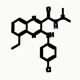 CCc1cccc2nc(C(=O)NN(C)C)c(Nc3ccc(Cl)cc3)nc12